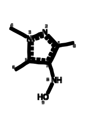 Cc1nn(C)c(C)c1NO